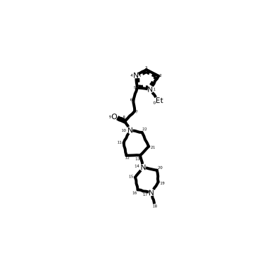 CCn1ccnc1CCC(=O)N1CCC(N2CCN(C)CC2)CC1